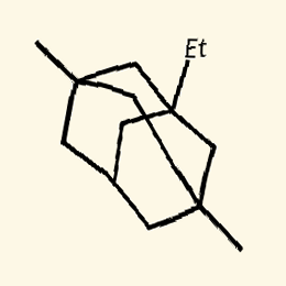 CCC12CC3CC(C)(CC(C)(C3)C1)C2